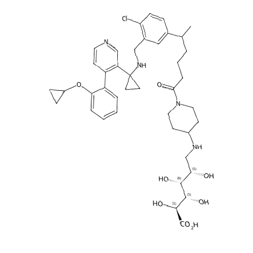 CC(CCCC(=O)N1CCC(NC[C@H](O)[C@@H](O)[C@H](O)[C@H](O)C(=O)O)CC1)c1ccc(Cl)c(CNC2(c3cnccc3-c3ccccc3OC3CC3)CC2)c1